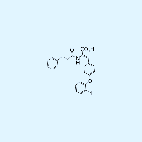 O=C(CCc1ccccc1)N/C(=C\c1ccc(Oc2ccccc2I)cc1)C(=O)O